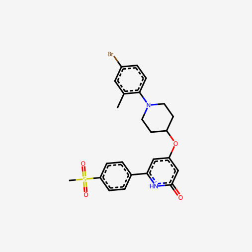 Cc1cc(Br)ccc1N1CCC(Oc2cc(-c3ccc(S(C)(=O)=O)cc3)[nH]c(=O)c2)CC1